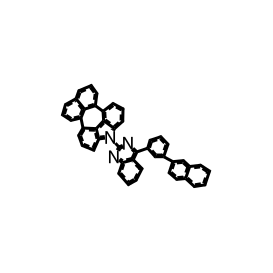 c1cc(-c2ccc3ccccc3c2)cc(-c2nc(-n3c4cccc5c4c4c(cccc43)-c3cccc4cccc-5c34)nc3ccccc23)c1